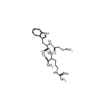 N=C(N)NCCCC(NC(=O)C(Cc1c[nH]c2ccccc12)NC(=O)CON)C(N)=O